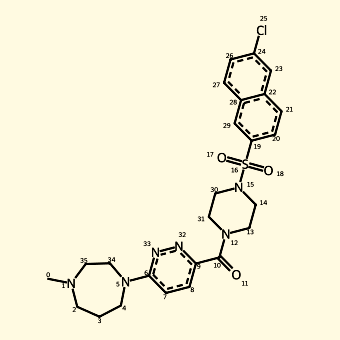 CN1CCCN(c2ccc(C(=O)N3CCN(S(=O)(=O)c4ccc5cc(Cl)ccc5c4)CC3)nn2)CC1